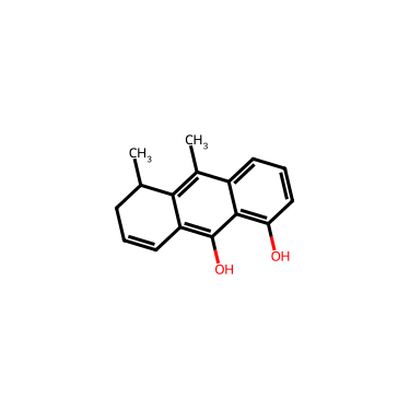 Cc1c2c(c(O)c3c(O)cccc13)C=CCC2C